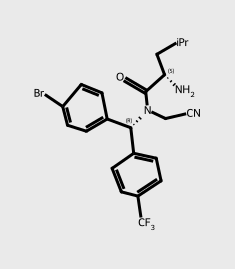 CC(C)C[C@H](N)C(=O)N(CC#N)[C@@H](c1ccc(Br)cc1)c1ccc(C(F)(F)F)cc1